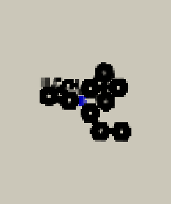 CC1(C)c2ccccc2-c2ccc(N(c3ccc(-c4cccc(-c5ccccc5)c4)cc3)c3ccc4c(c3)C(c3ccccc3)(c3ccccc3)c3ccccc3-4)cc21